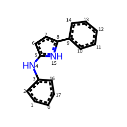 c1ccc(Nc2ccc(-c3ccccc3)[nH]2)cc1